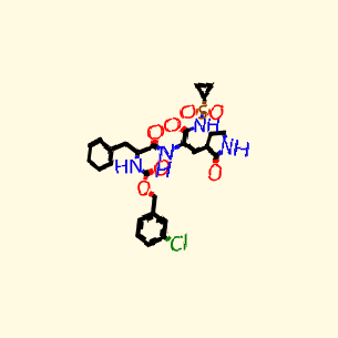 O=C(NC(CC1CCCCC1)C(=O)NC(CC1CCNC1=O)C(=O)NS(=O)(=O)C1CC1)OCc1cccc(Cl)c1